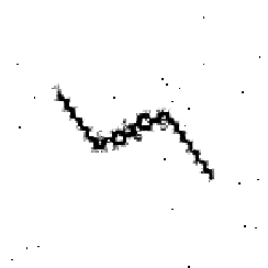 CCCCCCCCCCCCc1ccc(-c2ccc3c(c2)sc2c4ccc(-c5ccc(CCCCCCCCCC)s5)cc4sc32)s1